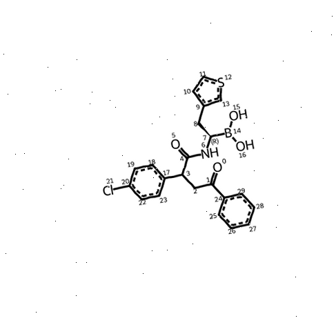 O=C(CC(C(=O)N[C@@H](Cc1ccsc1)B(O)O)c1ccc(Cl)cc1)c1ccccc1